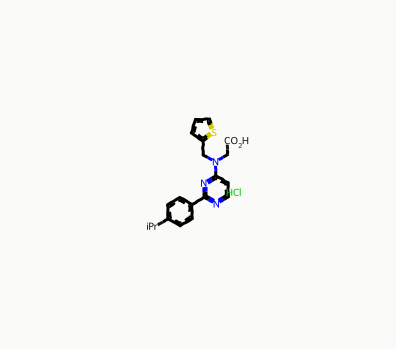 CC(C)c1ccc(-c2nccc(N(CC(=O)O)Cc3cccs3)n2)cc1.Cl